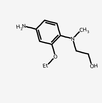 CCOc1cc(N)ccc1N(C)CCO